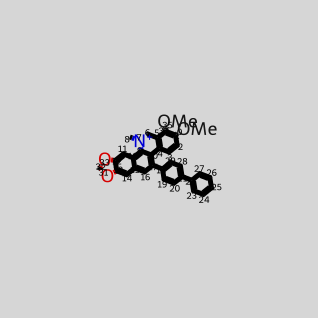 COc1ccc2c(c[n+](C)c3c4cc5c(cc4cc(-c4ccc(-c6ccccc6)cc4)c23)OCO5)c1OC